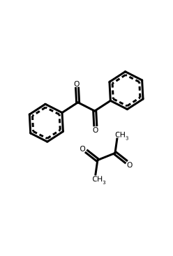 CC(=O)C(C)=O.O=C(C(=O)c1ccccc1)c1ccccc1